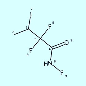 CC(I)C(F)(F)C(=O)NF